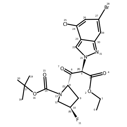 CCOC(=O)[C@@H](C(=O)[C@@H]1C[C@@H](F)CN1C(=O)OC(C)(C)C)n1cc2c(Cl)cc(Br)cc2n1